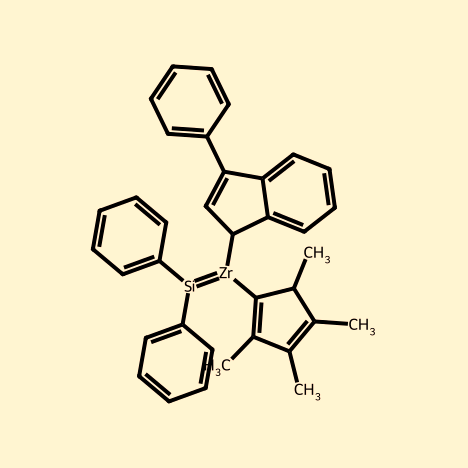 CC1=C(C)C(C)[C]([Zr]([CH]2C=C(c3ccccc3)c3ccccc32)=[Si](c2ccccc2)c2ccccc2)=C1C